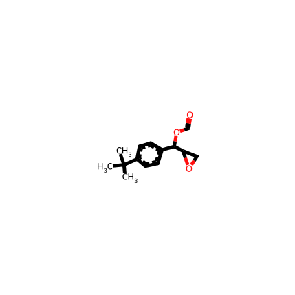 CC(C)(C)c1ccc(C(OC=O)C2CO2)cc1